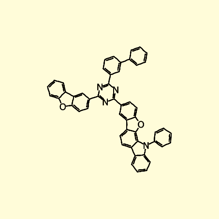 c1ccc(-c2cccc(-c3nc(-c4ccc5oc6ccccc6c5c4)nc(-c4ccc5oc6c(ccc7c8ccccc8n(-c8ccccc8)c76)c5c4)n3)c2)cc1